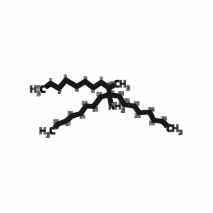 CCCCCCCCC(C)C(N)(CCCCCCCC)CCCCCCCC